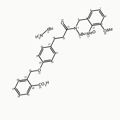 CC(C)(C)N.CCCCN(Cc1cccc(OC)c1OC)C(=O)CCc1ccc(OCc2ccccc2C(=O)O)cc1